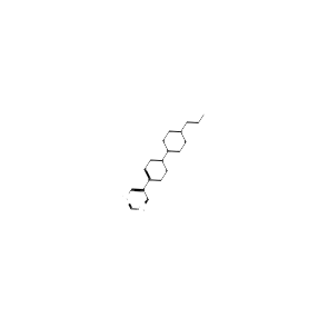 CCCC1CCC(C2CC=C(c3cncnc3)CC2)CC1